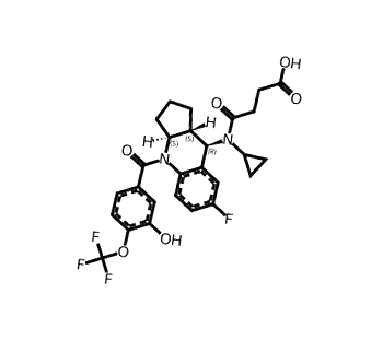 O=C(O)CCC(=O)N(C1CC1)[C@H]1c2cc(F)ccc2N(C(=O)c2ccc(OC(F)(F)F)c(O)c2)[C@H]2CCC[C@@H]21